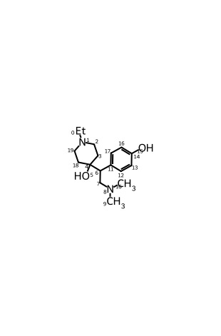 CCN1CCC(O)(C(CN(C)C)c2ccc(O)cc2)CC1